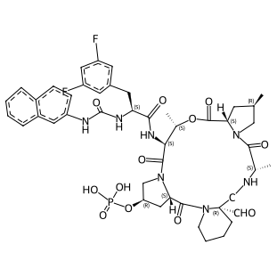 C[C@@H]1C[C@H]2C(=O)O[C@@H](C)[C@H](NC(=O)[C@H](Cc3cc(F)cc(F)c3)NC(=O)Nc3ccc4ccccc4c3)C(=O)N3C[C@H](OP(=O)(O)O)C[C@H]3C(=O)N3CCCC[C@]3(C=O)CN[C@@H](C)C(=O)N2C1